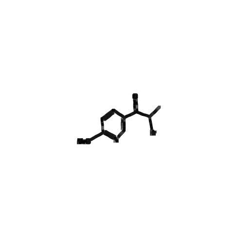 COc1ccc(C(=O)C(C)Br)cn1